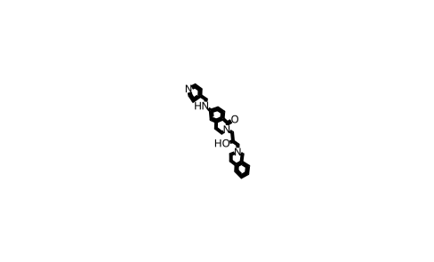 O=C1c2ccc(NCc3ccncc3)cc2CCN1CC(O)CN1CCc2ccccc2C1